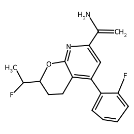 C=C(N)c1cc(-c2ccccc2F)c2c(n1)OC(C(C)F)CC2